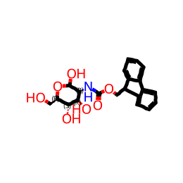 O=C(N[C@H]1C(O)O[C@H](CO)[C@@H](O)[C@@H]1O)OCC1c2ccccc2-c2ccccc21